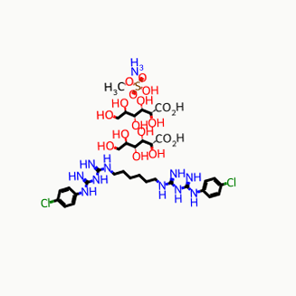 COS(=O)(=O)O.N.N=C(NCCCCCCNC(=N)NC(=N)Nc1ccc(Cl)cc1)NC(=N)Nc1ccc(Cl)cc1.O=C(O)[C@H](O)[C@@H](O)[C@H](O)[C@H](O)CO.O=C(O)[C@H](O)[C@@H](O)[C@H](O)[C@H](O)CO